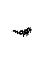 CCCCC[C@H]1CC[C@H](c2cc3c(c(F)c2F)OCCC3)CC1